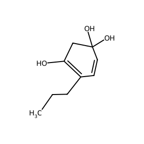 CCCC1=C(O)CC(O)(O)C=C1